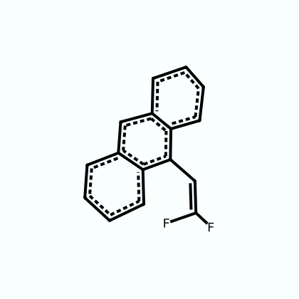 FC(F)=Cc1c2ccccc2cc2ccccc12